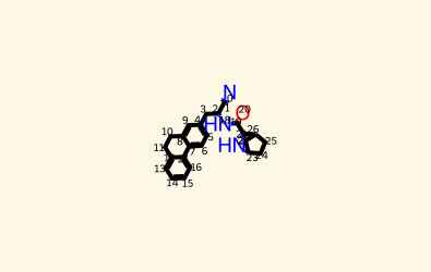 N#CC(Cc1ccc2c(c1)CCc1ccccc1-2)NC(=O)C1NC2CCC1C2